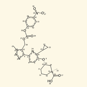 Cn1nnc(-c2ccc(O[C@H]3CCC[C@](C)(C(=O)O)C3)c(C3CC3)n2)c1COC(=O)Oc1ccc([N+](=O)[O-])cc1